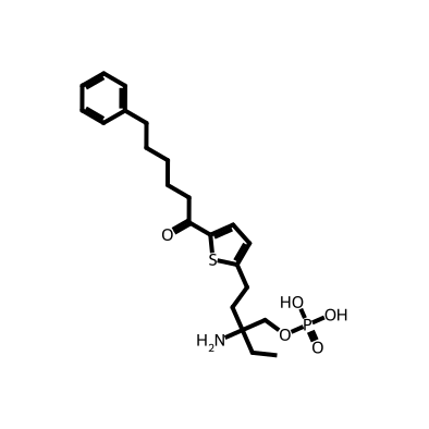 CCC(N)(CCc1ccc(C(=O)CCCCCc2ccccc2)s1)COP(=O)(O)O